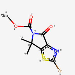 CC(C)(C)OC(=O)N1C(=O)c2nc(Br)sc2C1(C)C